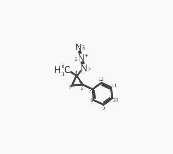 CC1(N=[N+]=[N-])CC1c1ccccc1